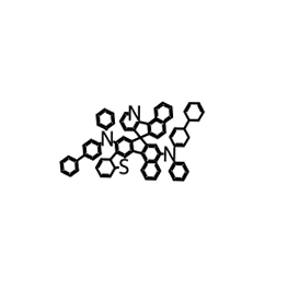 C1=CCC(C2C=CC(N(c3ccccc3)c3cc4c(c5ccccc35)-c3c(cc(N(c5ccccc5)c5ccc(-c6ccccc6)cc5)c5c3SC3C=CC=CC53)C43c4cccnc4-c4c3ccc3ccccc43)=CC2)C=C1